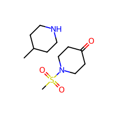 CC1CCNCC1.CS(=O)(=O)N1CCC(=O)CC1